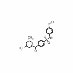 CCOc1ccc(NS(=O)(=O)c2ccc(C(=O)N3CC(C)CC(C)C3)cc2)cc1